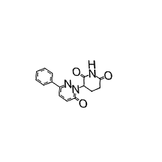 O=C1CCC(n2nc(-c3ccccc3)ccc2=O)C(=O)N1